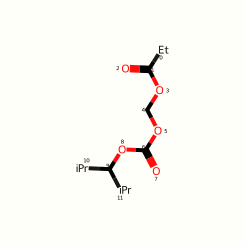 CCC(=O)OCOC(=O)OC(C(C)C)C(C)C